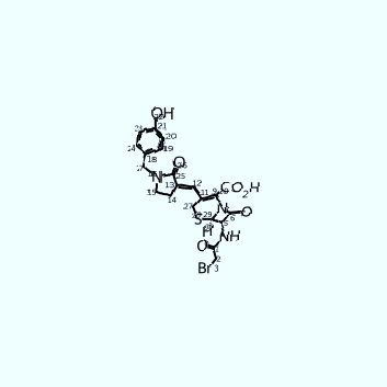 O=C(CBr)N[C@@H]1C(=O)N2C(C(=O)O)=C(/C=C3\CCN(Cc4ccc(O)cc4)C3=O)CS[C@H]12